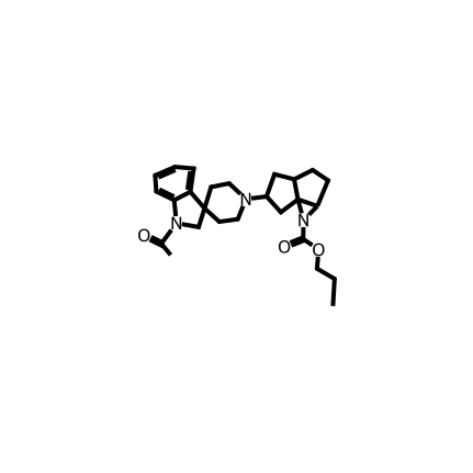 CCCOC(=O)N1C2CCC3CC(N4CCC5(CC4)CN(C(C)=O)c4ccccc45)CC321